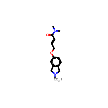 CN(C)C(=O)C=CCOc1ccc2c(c1)CN(C(=O)O)C2